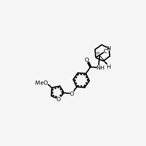 COc1coc(Oc2ccc(C(=O)N[C@H]3CN4CCC3CC4)cc2)c1